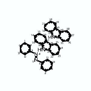 c1ccc(N=Nc2ccccc2)cc1.c1ccc2c(c1)[nH]c1ccccc12.c1ccc2c(c1)[nH]c1ccccc12